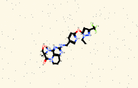 CCn1nc(C(F)(F)F)cc1Oc1ccc(CNc2nc3c4c(n2)N(C)[C@@](C)(CO)C(=O)N4CCC3)cn1